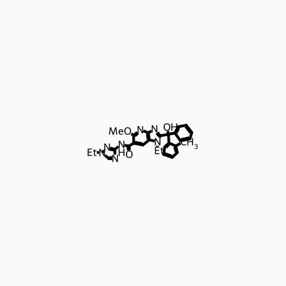 CCn1cnc(NC(=O)c2cc3c(nc2OC)nc(C(O)(c2ccccc2)c2ccccc2C)n3CC)n1